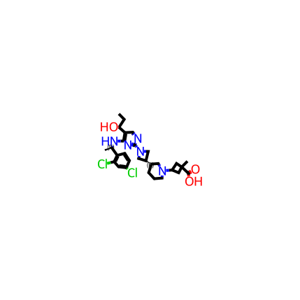 CCC(O)c1cnc(N2CC([C@H]3CCCN(C4CC(C)(C(=O)O)C4)C3)C2)nc1N[C@H](C)c1ccc(Cl)cc1Cl